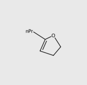 CCCC1=CCCO1